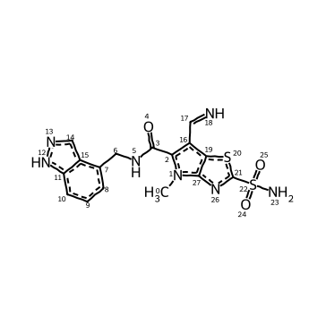 Cn1c(C(=O)NCc2cccc3[nH]ncc23)c(C=N)c2sc(S(N)(=O)=O)nc21